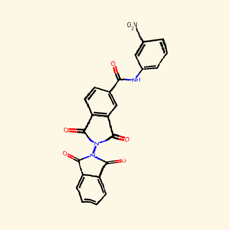 O=C(Nc1cccc([N+](=O)[O-])c1)c1ccc2c(c1)C(=O)N(N1C(=O)c3ccccc3C1=O)C2=O